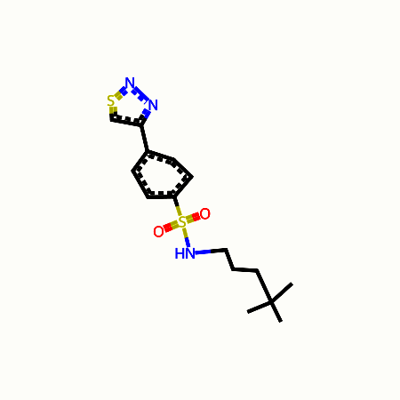 CC(C)(C)CCCNS(=O)(=O)c1ccc(-c2csnn2)cc1